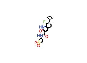 O=C(N[C@@H]1C=CS(=O)(=O)C1)c1cc2ccc(C3CCC3)c(F)c2[nH]c1=O